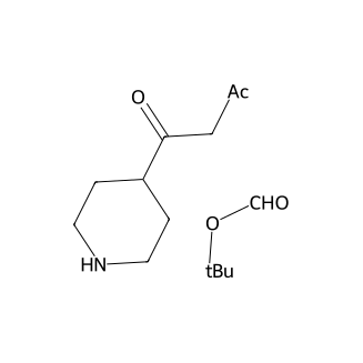 CC(=O)CC(=O)C1CCNCC1.CC(C)(C)OC=O